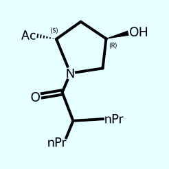 CCCC(CCC)C(=O)N1C[C@H](O)C[C@H]1C(C)=O